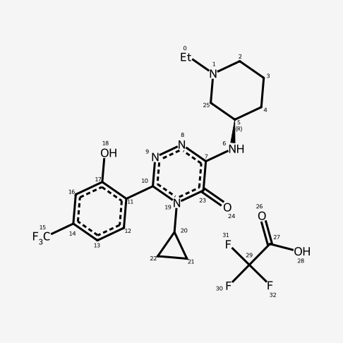 CCN1CCC[C@@H](Nc2nnc(-c3ccc(C(F)(F)F)cc3O)n(C3CC3)c2=O)C1.O=C(O)C(F)(F)F